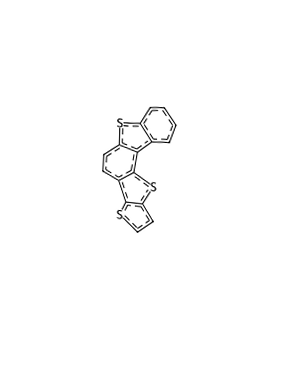 c1ccc2c(c1)sc1ccc3c4sccc4sc3c12